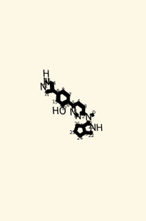 CN(c1ccc(-c2ccc(-c3cn[nH]c3)cc2O)nn1)C1NCC2CCCC21